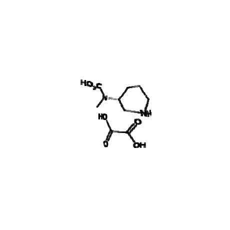 CN(C(=O)O)[C@@H]1CCCNC1.O=C(O)C(=O)O